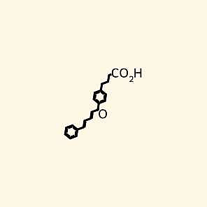 O=C(O)CCCc1ccc(C(=O)C=CC=Cc2ccccc2)cc1